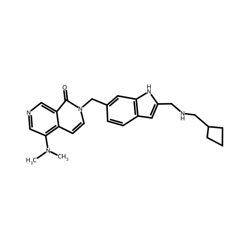 CN(C)c1cncc2c(=O)n(Cc3ccc4cc(CNCC5CCC5)[nH]c4c3)ccc12